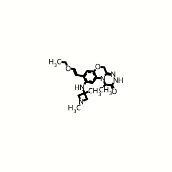 CCOC=Cc1cc2c(cc1NC1(C)CN(C)C1)N1C(=NNC(=O)C1C)CO2